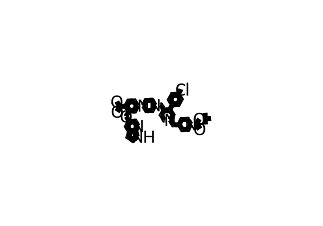 COC(=O)c1ccc(N2CCN(CC3=C(c4ccc(Cl)cc4)CN(CC4CCN(C(=O)OC(C)(C)C)CC4)CC3)CC2)cc1Oc1cnc2[nH]ccc2c1